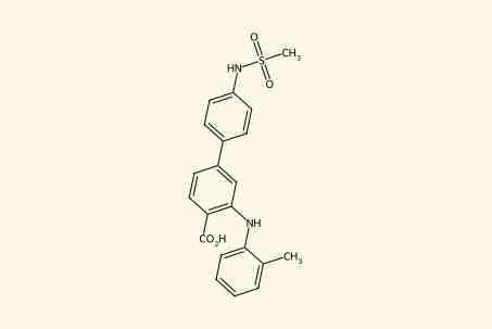 Cc1ccccc1Nc1cc(-c2ccc(NS(C)(=O)=O)cc2)ccc1C(=O)O